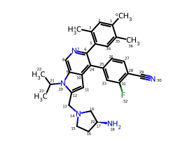 Cc1cc(C)c(-c2ncc3c(cc(CN4CC[C@H](N)C4)n3C(C)C)c2-c2ccc(C#N)c(F)c2)cc1C